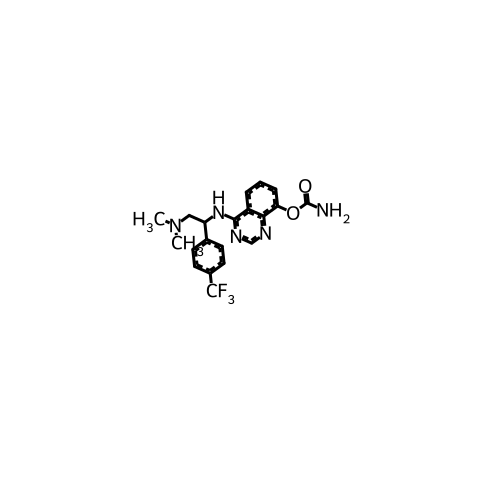 CN(C)CC(Nc1ncnc2c(OC(N)=O)cccc12)c1ccc(C(F)(F)F)cc1